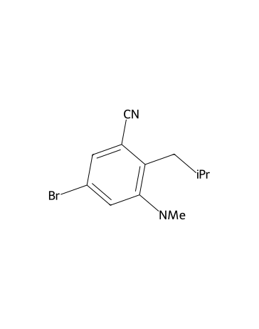 CNc1cc(Br)cc(C#N)c1CC(C)C